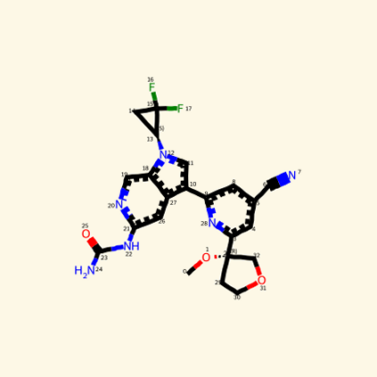 CO[C@@]1(c2cc(C#N)cc(-c3cn([C@H]4CC4(F)F)c4cnc(NC(N)=O)cc34)n2)CCOC1